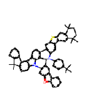 CC(C)(C)c1ccc(N2B3c4cc5c(cc4-n4c6ccc7c(c6c6ccc(c3c64)-c3cc4sc6cc8c(cc6c4cc32)C(C)(C)CCC8(C)C)-c2ccccc2C7(C)C)oc2ccccc25)cc1